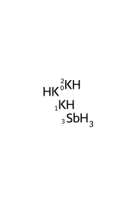 [KH].[KH].[KH].[SbH3]